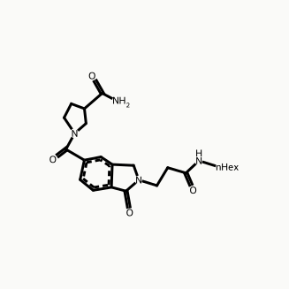 CCCCCCNC(=O)CCN1Cc2cc(C(=O)N3CCC(C(N)=O)C3)ccc2C1=O